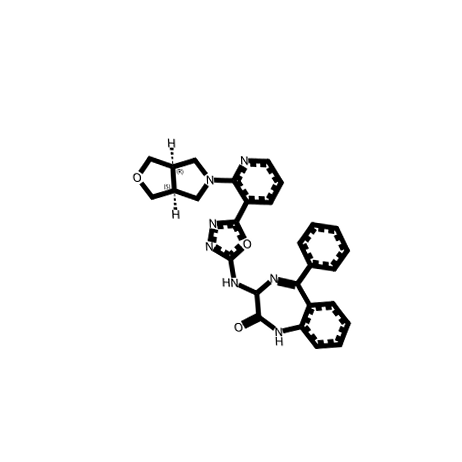 O=C1Nc2ccccc2C(c2ccccc2)=NC1Nc1nnc(-c2cccnc2N2C[C@H]3COC[C@H]3C2)o1